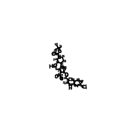 Cc1c([N+](=O)[O-])c(OCC[C@@H](C)Nc2nc(Cl)ncc2Cl)nn1C1CCN(C(=O)OC(C)(C)C)CC1O